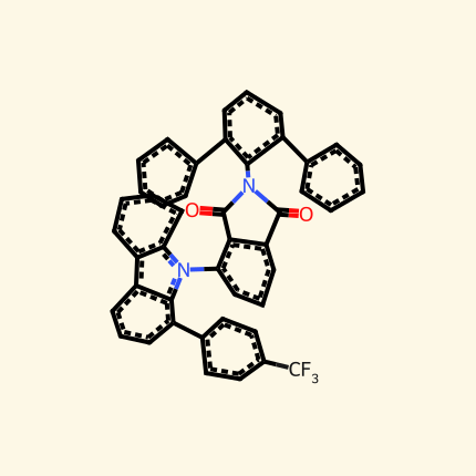 O=C1c2cccc(-n3c4ccccc4c4cccc(-c5ccc(C(F)(F)F)cc5)c43)c2C(=O)N1c1c(-c2ccccc2)cccc1-c1ccccc1